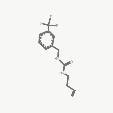 C=CCCNC(=O)NCc1cccc(C(F)(F)F)c1